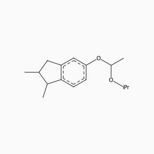 CC(C)OC(C)Oc1ccc2c(c1)CC(C)C2C